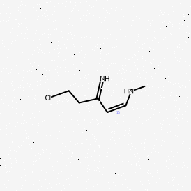 CN/C=C\C(=N)CCCl